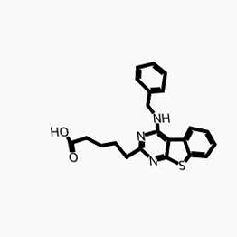 O=C(O)CCCCc1nc(NCc2ccccc2)c2c(n1)sc1ccccc12